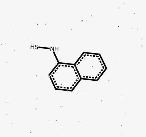 SNc1cccc2ccccc12